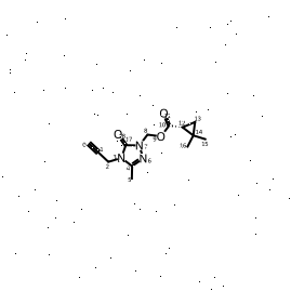 C#CCn1c(C)nn(COC(=O)[C@@H]2CC2(C)C)c1=O